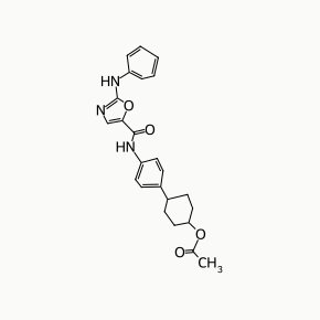 CC(=O)OC1CCC(c2ccc(NC(=O)c3cnc(Nc4ccccc4)o3)cc2)CC1